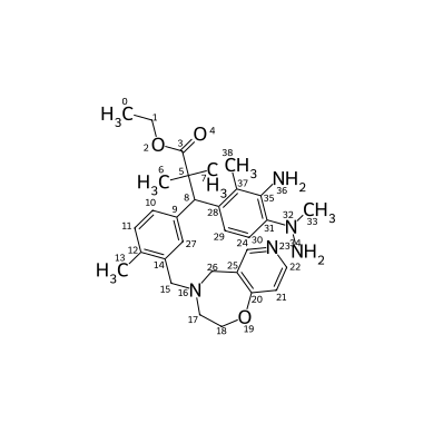 CCOC(=O)C(C)(C)C(c1ccc(C)c(CN2CCOc3ccncc3C2)c1)c1ccc(N(C)N)c(N)c1C